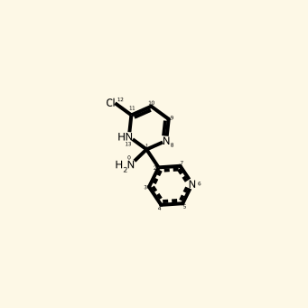 NC1(c2cccnc2)N=CC=C(Cl)N1